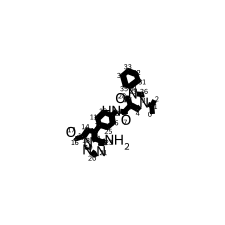 CC(C)N1C=C(C(=O)Nc2ccc(-c3cc(C=O)n4ncnc(N)c34)cc2)C(=O)N(c2ccccc2)C1